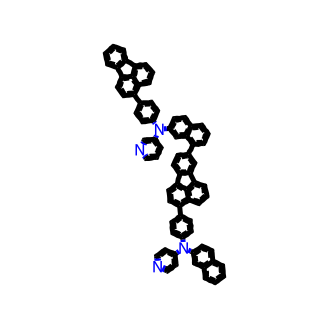 c1cncc(N(c2ccc(-c3ccc4c5c(cccc35)-c3ccccc3-4)cc2)c2ccc3cccc(-c4ccc5c(c4)-c4cccc6c(-c7ccc(N(c8ccncc8)c8ccc9ccccc9c8)cc7)ccc-5c46)c3c2)c1